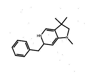 CN1CC(C)(C)C2=CNC(Cc3ccccc3)C=C21